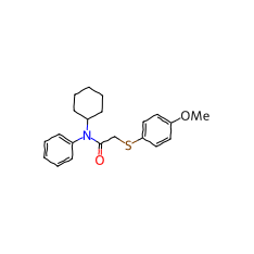 COc1ccc(SCC(=O)N(c2ccccc2)C2CCCCC2)cc1